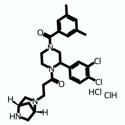 Cc1cc(C)cc(C(=O)N2CCN(C(=O)CCN3C[C@@H]4C[C@H]3CN4)C(c3ccc(Cl)c(Cl)c3)C2)c1.Cl.Cl